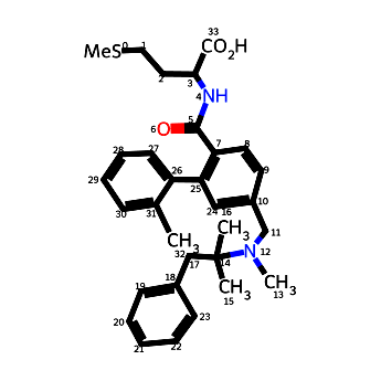 CSCCC(NC(=O)c1ccc(CN(C)C(C)(C)Cc2ccccc2)cc1-c1ccccc1C)C(=O)O